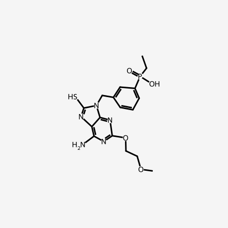 CCP(=O)(O)c1cccc(Cn2c(S)nc3c(N)nc(OCCOC)nc32)c1